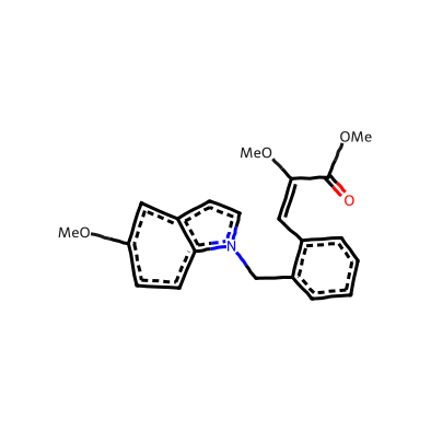 COC(=O)C(=Cc1ccccc1Cn1ccc2cc(OC)ccc21)OC